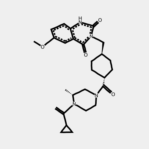 C=C(C1CC1)N1CCN(C(=O)[C@H]2CC[C@H](Cn3c(=O)[nH]c4ccc(OC)cc4c3=O)CC2)C[C@H]1C